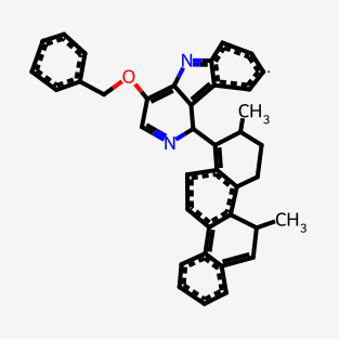 CC1CCc2c3c(ccc2=C1C1N=CC(OCc2ccccc2)=C2N=c4cc[c]cc4=C21)=c1ccccc1=CC3C